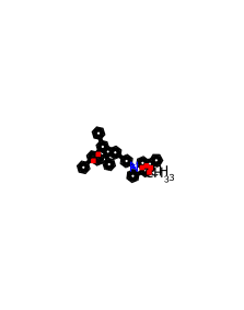 CC1(C)c2ccccc2-c2ccc(N(c3ccc(-c4ccc5c(c4)C(c4ccccc4)(c4ccccc4)c4c(-c6ccc(-c7ccccc7)cc6)cc(-c6ccccc6)cc4-5)cc3)c3ccccc3-c3ccccc3)cc21